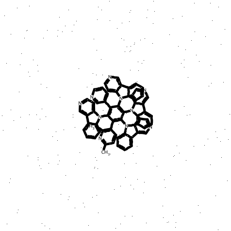 Cc1ccc(-c2c(-n3c4ccccc4c4cnccc43)c(-c3cccnc3)c(-n3c4ccccc4c4cnccc43)c(-n3c4ccccc4c4cnccc43)c2-n2c3ccccc3c3cnccc32)c(C)n1